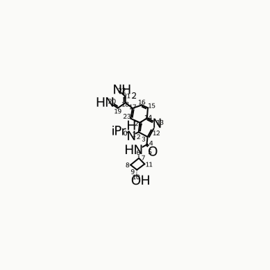 CC(C)Nc1c(C(=O)N[C@H]2C[C@@H](O)C2)cnc2ccc(/C(C=N)=C/N)cc12